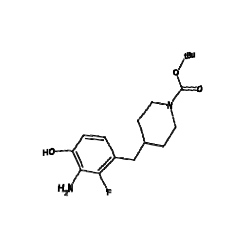 CC(C)(C)OC(=O)N1CCC(Cc2ccc(O)c(N)c2F)CC1